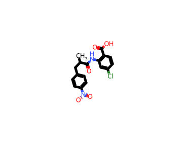 CC(Cc1ccc([N+](=O)[O-])cc1)C(=O)Nc1cc(Cl)ccc1C(=O)O